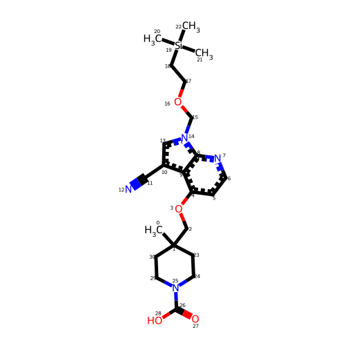 CC1(COc2ccnc3c2c(C#N)cn3COCC[Si](C)(C)C)CCN(C(=O)O)CC1